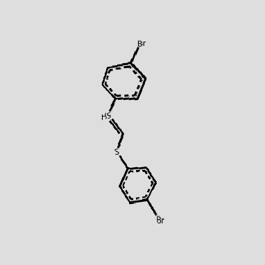 Brc1ccc(SC=[SH]c2ccc(Br)cc2)cc1